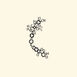 CC1(C)[C@H](NC(=O)c2ccc(N3CCC(CN4Cc5cc6c(cc5C4)C(=O)N(C4CCC(=O)NC4=O)C6=O)CC3)cc2)C(C)(C)[C@H]1Nc1ccc(C#N)c(Cl)c1